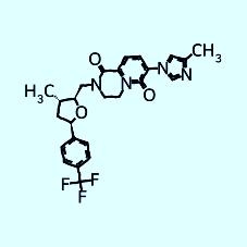 Cc1cn(-c2ccc3n(c2=O)CCN(C[C@H]2O[C@@H](c4ccc(C(F)(F)F)cc4)C[C@@H]2C)C3=O)cn1